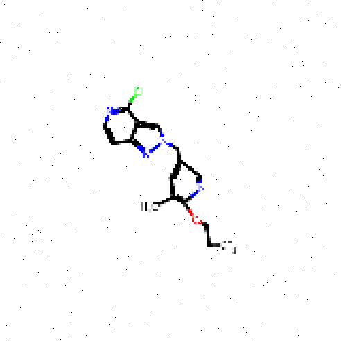 Cc1cc(Cn2cc3c(Cl)nccc3n2)cnc1OCCC(F)(F)F